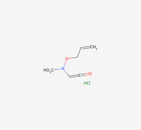 C=CCON(C=C=O)C(=O)O.Cl